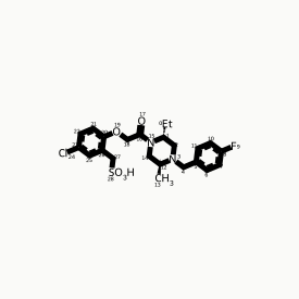 CC[C@@H]1CN(Cc2ccc(F)cc2)[C@@H](C)CN1C(=O)COc1ccc(Cl)cc1CS(=O)(=O)O